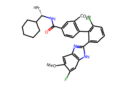 CCC[C@H](NC(=O)c1ccc(-c2c(Cl)cccc2-c2nc3cc(OC)c(F)cc3[nH]2)c(C(=O)O)c1)C1CCCCC1